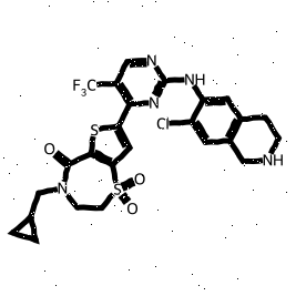 O=C1c2sc(-c3nc(Nc4cc5c(cc4Cl)CNCC5)ncc3C(F)(F)F)cc2S(=O)(=O)CCN1CC1CC1